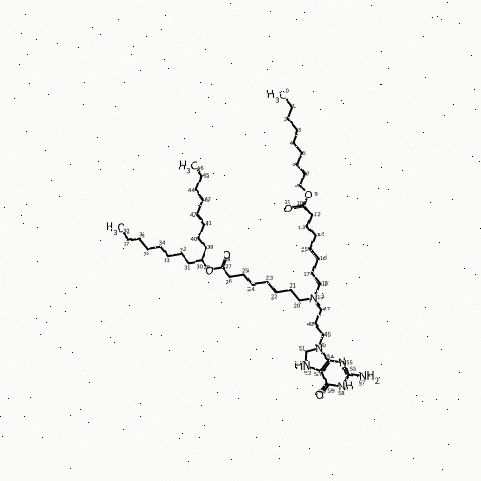 CCCCCCCCCOC(=O)CCCCCCCN(CCCCCCCC(=O)OC(CCCCCCCC)CCCCCCCC)CCCN1CNc2c1nc(N)[nH]c2=O